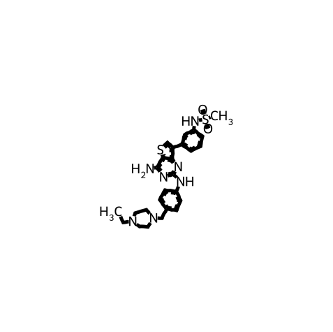 CCN1CCN(Cc2ccc(Nc3nc(N)c4scc(-c5cccc(NS(C)(=O)=O)c5)c4n3)cc2)CC1